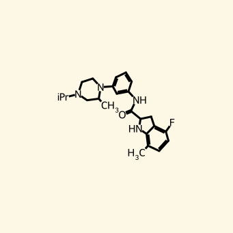 Cc1ccc(F)c2c1NC(C(=O)Nc1cccc(N3CCN(C(C)C)CC3C)c1)C2